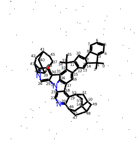 CC1(C)c2ccccc2-c2cc3c(cc21)-c1cc2c4c5c(ncc4n4c6cnc7c(c6c(c1C3(C)C)c24)C1CC2CC(CC7C2)C1)C1CC2CC3CC5CC23C1